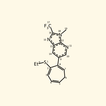 CCSC1=CC=CCC=C1c1cnc2c(c1)nc(C(F)(F)F)n2C